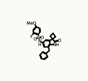 COc1ccc(S(=O)(=O)Nc2cc(Cc3ccccc3)c3c(c2)C2(CCC2)C(=O)N3)c(F)c1